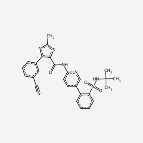 Cc1nc(-c2cccc(C#N)c2)c(C(=O)Nc2ccc(-c3ccccc3S(=O)(=O)NC(C)(C)C)cn2)s1